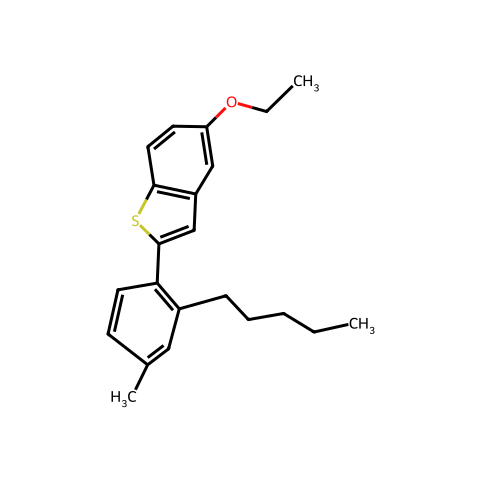 CCCCCc1cc(C)ccc1-c1cc2cc(OCC)ccc2s1